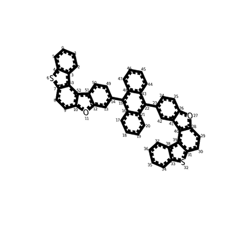 c1ccc2c(c1)sc1ccc3oc4cc(-c5c6ccccc6c(-c6ccc7oc8ccc9sc%10ccccc%10c9c8c7c6)c6ccccc56)ccc4c3c12